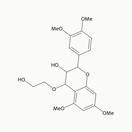 COc1cc(OC)c2c(c1)OC(c1ccc(OC)c(OC)c1)C(O)C2OCCO